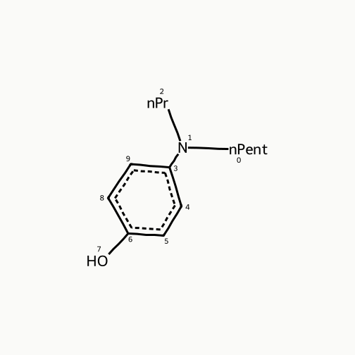 CCCCCN(CCC)c1ccc(O)cc1